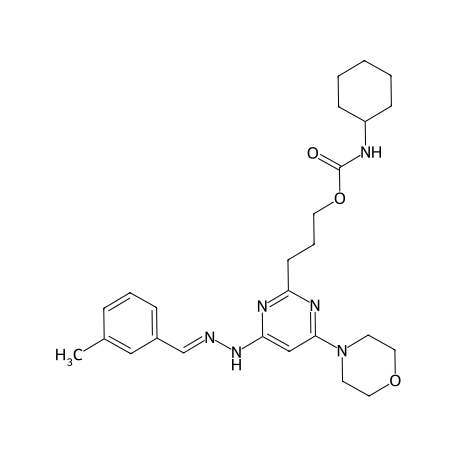 Cc1cccc(/C=N/Nc2cc(N3CCOCC3)nc(CCCOC(=O)NC3CCCCC3)n2)c1